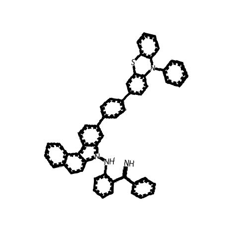 N=C(c1ccccc1)c1ccccc1Nn1c2cc(-c3ccc(-c4ccc5c(c4)Sc4ccccc4N5c4ccccc4)cc3)ccc2c2c3ccccc3ccc21